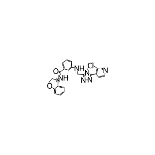 Cn1c(CNc2cccc(C(=O)N[C@H]3CCOc4ccccc43)c2)nnc1-c1ccncc1Cl